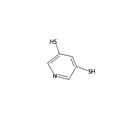 Sc1cncc(S)c1